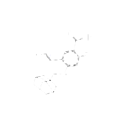 C/C=C/c1cc(C(=O)O)c(F)cc1OCC12CC3CC(CC(C3)C1)C2